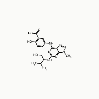 CC(C)C(CO)Nc1nc(Nc2ccc(O)c(C(=O)O)c2)c2nnn(C)c2n1